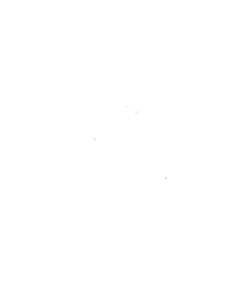 CN1C2CCC1CC(OC(=O)C(CO)c1ccccc1)C2.O=P(O)(O)O